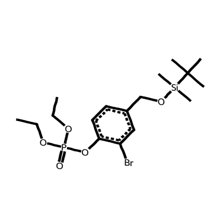 CCOP(=O)(OCC)Oc1ccc(CO[Si](C)(C)C(C)(C)C)cc1Br